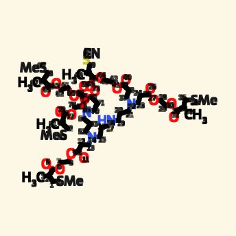 CSCC(C)C(=O)OCCOC(=O)CCN(CCCNCCCN(CCC(=O)OCCOC(=O)C(C)CSC)CCC(=O)OCCOC(=O)C(C)CSC#N)CCCN(CCC(=O)OCCOC(=O)C(C)CSC)CCC(=O)OCCOC(=O)C(C)CSC